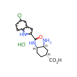 Cl.N[C@H]1C[C@H](C(=O)O)CC[C@H]1NC(=O)c1cc2cc(Cl)ccc2[nH]1